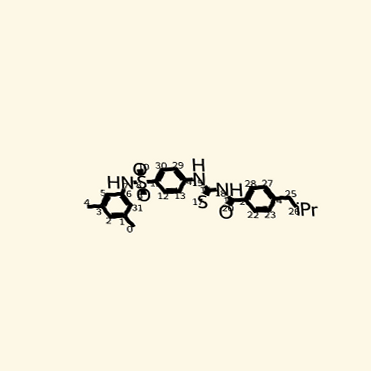 Cc1cc(C)cc(NS(=O)(=O)c2ccc(NC(=S)NC(=O)c3ccc(CC(C)C)cc3)cc2)c1